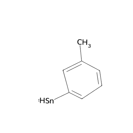 Cc1ccc[c]([SnH])c1